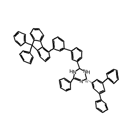 c1ccc(C2=N[C@@H](c3cc(-c4ccccc4)cc(-c4ccccc4)c3)NC(c3cccc(-c4cccc(-c5cccc6c5-c5ccccc5C6(c5ccccc5)c5ccccc5)c4)c3)N2)cc1